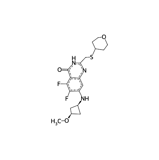 CO[C@H]1C[C@@H](Nc2cc3nc(CSC4CCOCC4)[nH]c(=O)c3c(F)c2F)C1